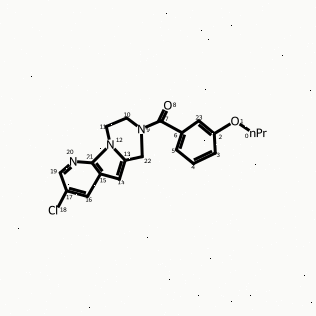 CCCOc1cccc(C(=O)N2CCn3c(cc4cc(Cl)cnc43)C2)c1